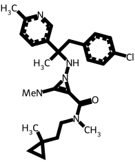 CNC1=C(C(=O)N(C)CCC2(C)CC2)N1NC(C)(Cc1ccc(Cl)cc1)c1ccc(C)nc1